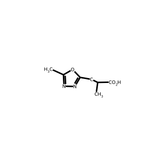 Cc1nnc(CC(C)C(=O)O)o1